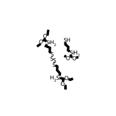 CCOC(OCC)[SiH2]CCCSSSSCCC[SiH2]C(OCC)OCC.COC(OC)[SiH2]CCCS